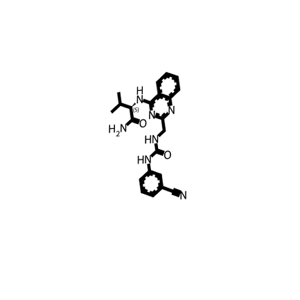 CC(C)[C@H](Nc1nc(CNC(=O)Nc2cccc(C#N)c2)nc2ccccc12)C(N)=O